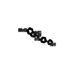 COc1ccc2nc(C(=O)Nc3ccc([C@H]4CCNC4)cc3)ccc2c1.Cl